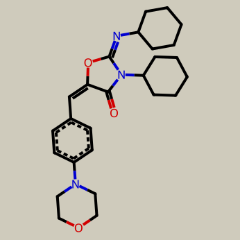 O=C1/C(=C\c2ccc(N3CCOCC3)cc2)O/C(=N/C2CCCCC2)N1C1CCCCC1